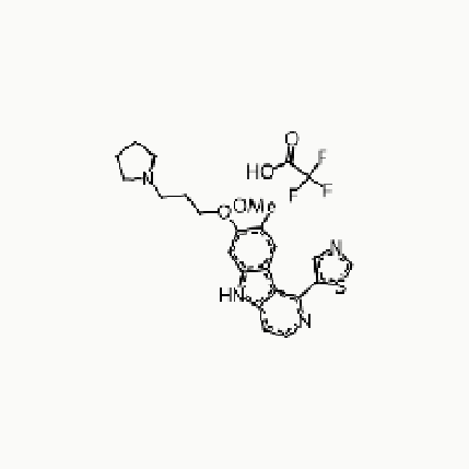 COc1cc2c(cc1OCCCN1CCCC1)[nH]c1ccnc(-c3cncs3)c12.O=C(O)C(F)(F)F